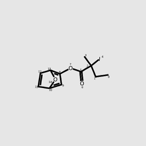 CCC(C)(I)C(=O)Oc1cc2ccc1o2